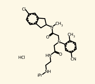 Cc1ccc(C#N)cc1N(CC(=O)NCCNC(C)C)CC(=O)N(C)C1Cc2ccc(Cl)cc2C1.Cl